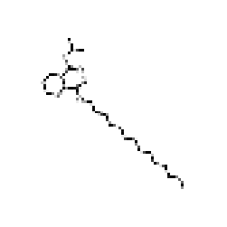 CCCCCCCCCCCCCCOC(=O)C1CCCCC1C(=O)OC(C)C